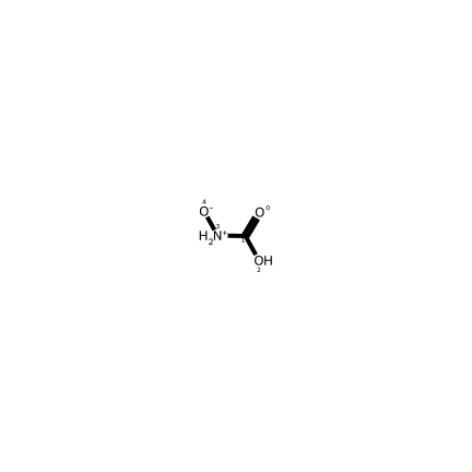 O=C(O)[NH2+][O-]